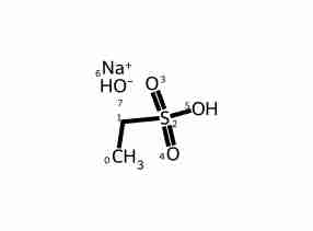 CCS(=O)(=O)O.[Na+].[OH-]